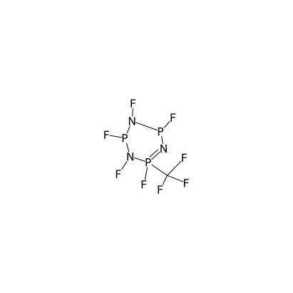 FN1P(F)N=P(F)(C(F)(F)F)N(F)P1F